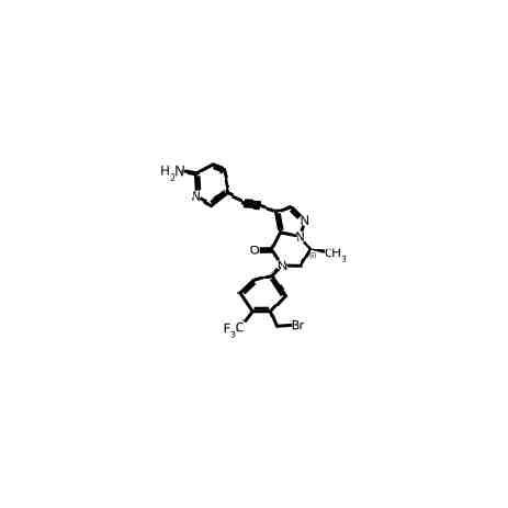 C[C@H]1CN(c2ccc(C(F)(F)F)c(CBr)c2)C(=O)c2c(C#Cc3ccc(N)nc3)cnn21